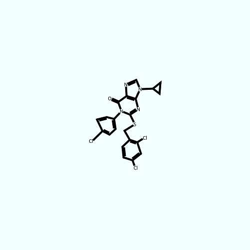 O=c1c2ncn(C3CC3)c2nc(SCc2ccc(Cl)cc2Cl)n1-c1ccc(Cl)cc1